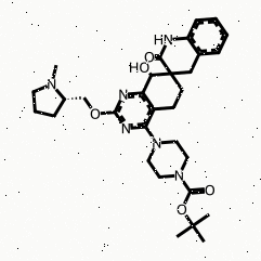 CN1CCC[C@H]1COc1nc2c(c(N3CCN(C(=O)OC(C)(C)C)CC3)n1)CCC1(Cc3ccccc3NC1=O)C2O